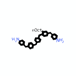 CCCCCCCCc1cc(Cc2ccc(N)cc2)ccc1Cc1ccc(Cc2ccc(Cc3ccc(N)cc3)cc2)cc1